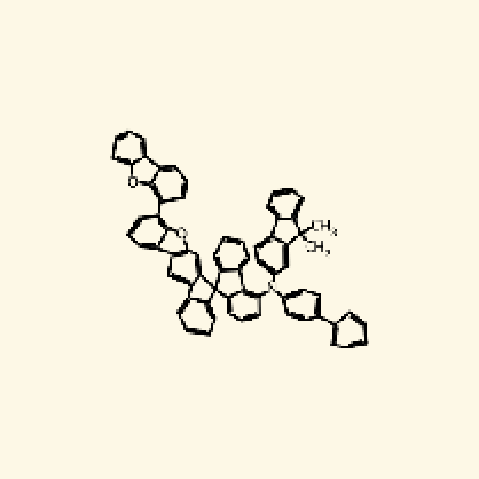 CC1(C)c2ccccc2-c2ccc(N(c3ccc(-c4ccccc4)cc3)c3cccc4c3-c3ccccc3C43c4ccccc4-c4cc5c(cc43)oc3c(-c4cccc6c4oc4ccccc46)cccc35)cc21